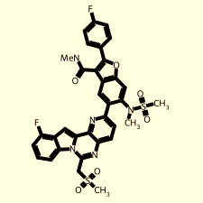 CNC(=O)c1c(-c2ccc(F)cc2)oc2cc(N(C)S(C)(=O)=O)c(-c3ccc4nc(CS(C)(=O)=O)n5c6cccc(F)c6cc5c4n3)cc12